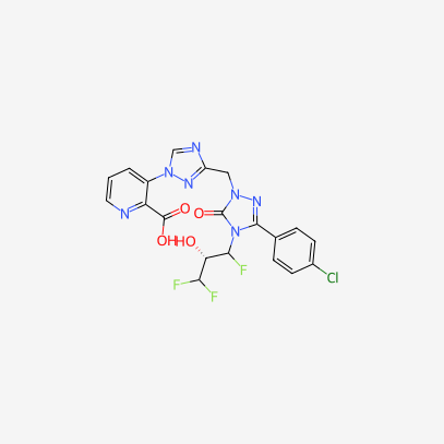 O=C(O)c1ncccc1-n1cnc(Cn2nc(-c3ccc(Cl)cc3)n(C(F)[C@@H](O)C(F)F)c2=O)n1